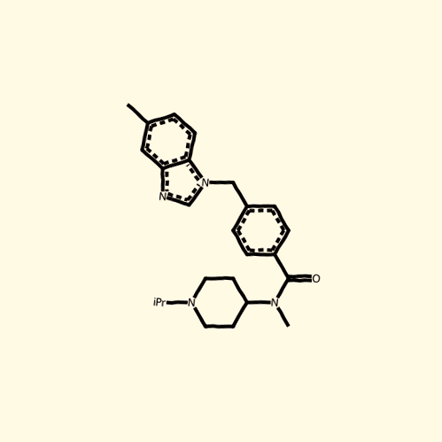 Cc1ccc2c(c1)ncn2Cc1ccc(C(=O)N(C)C2CCN(C(C)C)CC2)cc1